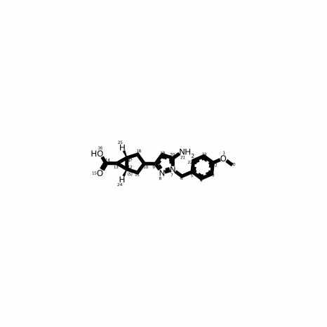 COc1ccc(Cn2nc(C3C[C@@H]4C(C(=O)O)[C@@H]4C3)cc2N)cc1